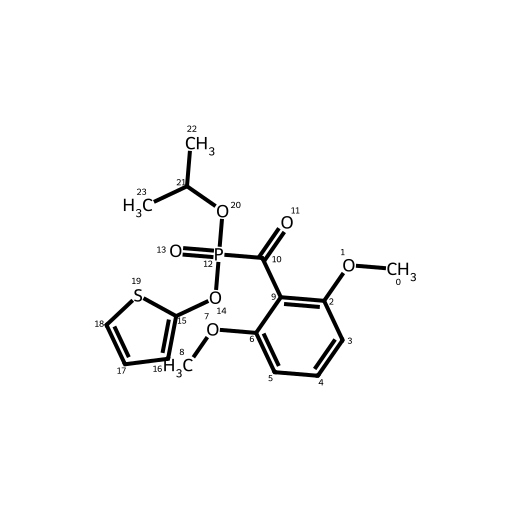 COc1cccc(OC)c1C(=O)P(=O)(Oc1cccs1)OC(C)C